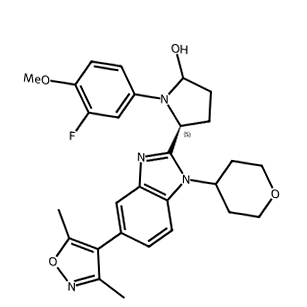 COc1ccc(N2C(O)CC[C@H]2c2nc3cc(-c4c(C)noc4C)ccc3n2C2CCOCC2)cc1F